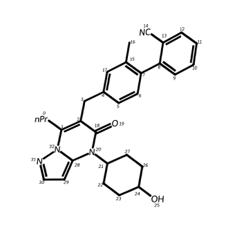 CCCc1c(Cc2ccc(-c3ccccc3C#N)c(C)c2)c(=O)n(C2CCC(O)CC2)c2ccnn12